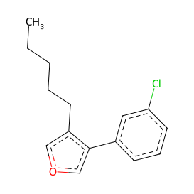 CCCCCc1cocc1-c1cccc(Cl)c1